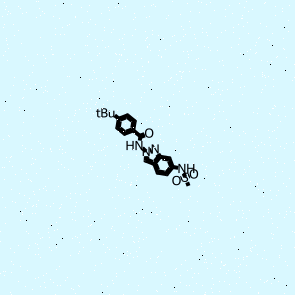 CC(C)(C)c1ccc(C(=O)Nn2cc3ccc(NS(C)(=O)=O)cc3n2)cc1